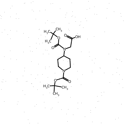 CC(C)(C)OC(=O)N1CCC(N(CC(=O)O)C(=O)OC(C)(C)C)CC1